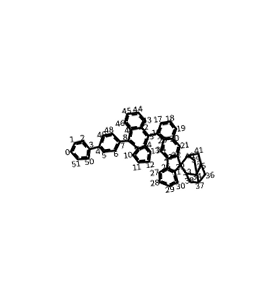 c1ccc(-c2ccc(-c3c4ccccc4c(-c4cccc5cc6c(cc45)-c4ccccc4C64C5CC6CC(C5)CC4C6)c4ccccc34)cc2)cc1